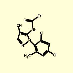 CCC(=O)Nc1c(C#N)cnn1-c1c(C)cc(Cl)cc1Cl